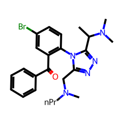 CCCN(C)Cc1nnc(C(C)N(C)C)n1-c1ccc(Br)cc1C(=O)c1ccccc1